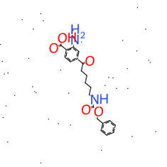 Nc1cc(C(=O)CCCCCNC(=O)OCc2ccccc2)ccc1C(=O)O